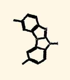 Cc1ccc2nc3n(I)c4ccc(C)cc4n3c2c1